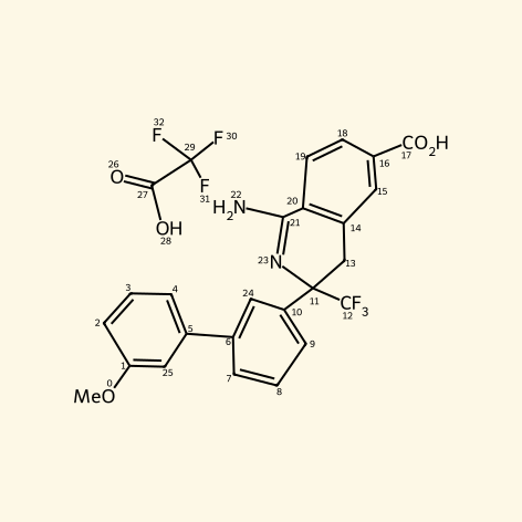 COc1cccc(-c2cccc(C3(C(F)(F)F)Cc4cc(C(=O)O)ccc4C(N)=N3)c2)c1.O=C(O)C(F)(F)F